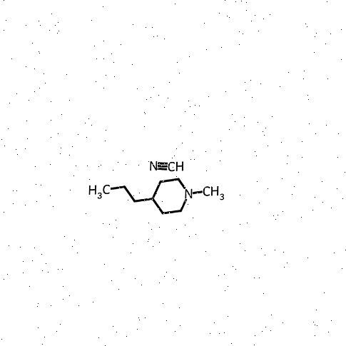 C#N.CCCC1CCN(C)CC1